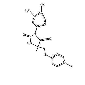 CC1(CSc2ccc(F)cc2)NC(=O)N(c2ccc(C#N)c(C(F)(F)F)c2)C1=O